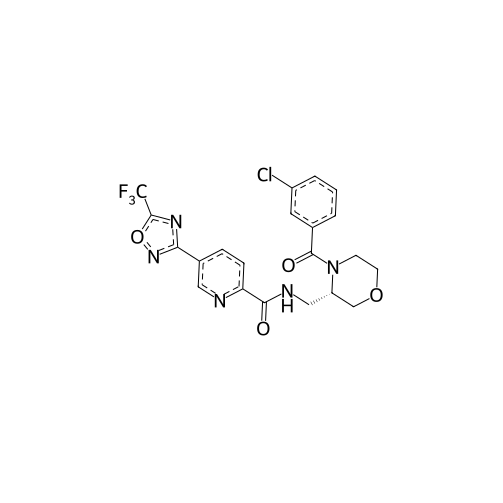 O=C(NC[C@H]1COCCN1C(=O)c1cccc(Cl)c1)c1ccc(-c2noc(C(F)(F)F)n2)cn1